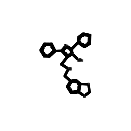 CCCCn1c(-c2ccccc2)nc(-c2ccccc2)c1CNCc1ccc2c(c1)OCO2